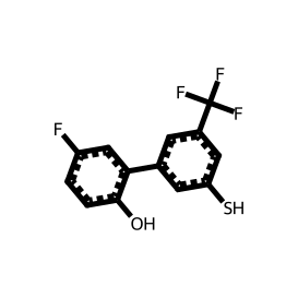 Oc1ccc(F)cc1-c1cc(S)cc(C(F)(F)F)c1